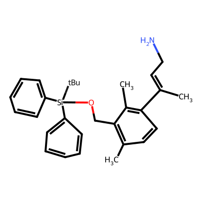 CC(=CCN)c1ccc(C)c(CO[Si](c2ccccc2)(c2ccccc2)C(C)(C)C)c1C